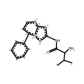 CC(C)C(N)C(=O)Nc1nc2nccc(-c3ccccc3)n2n1